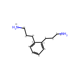 NCCCc1ccccc1CCCN